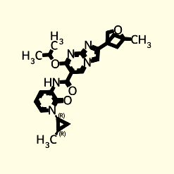 CC(C)Oc1nc2nc(C34COC(C)(C3)C4)cn2cc1C(=O)Nc1cccn([C@@H]2C[C@H]2C)c1=O